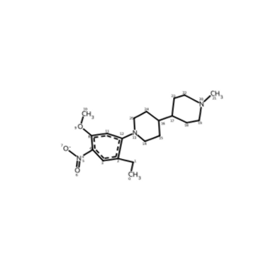 CCc1cc([N+](=O)[O-])c(OC)cc1N1CCC(C2CCN(C)CC2)CC1